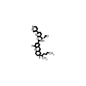 CCCCC(C)[C@]1(F)CCc2nc3c(F)cc(C(=O)N[C@H](CC=O)c4ccc(-c5ccnnc5)nc4)cc3cc2C1